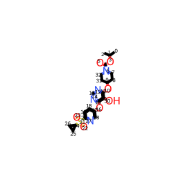 CC(C)OC(=O)N1CCC(Oc2ncnc(Oc3ccc(S(=O)(=O)C4CC4)nc3)c2O)CC1